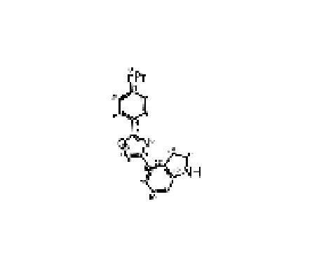 CCCc1ccc(-c2nc(-c3cccc4c3CCN4)no2)cc1